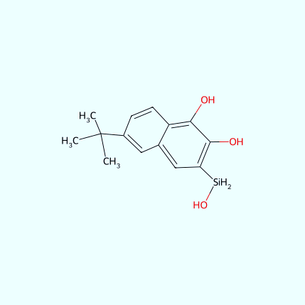 CC(C)(C)c1ccc2c(O)c(O)c([SiH2]O)cc2c1